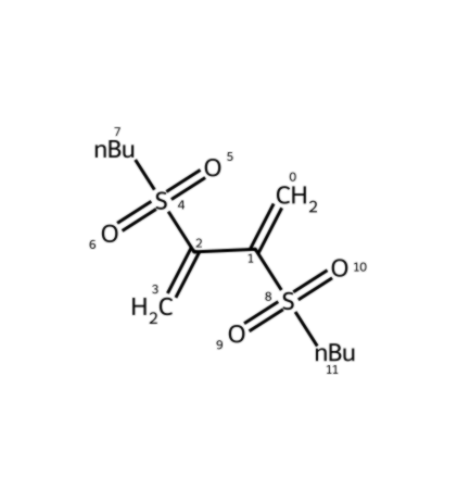 C=C(C(=C)S(=O)(=O)CCCC)S(=O)(=O)CCCC